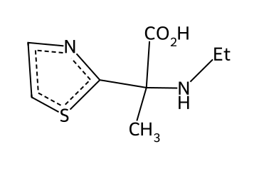 CCNC(C)(C(=O)O)c1nccs1